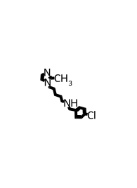 Cc1nccn1CCCCCNCc1ccc(Cl)cc1